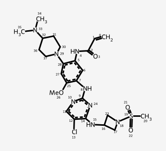 C=CC(=O)Nc1cc(Nc2ncc(Cl)c(NC3CN(S(C)(=O)=O)C3)n2)c(OC)cc1N1CCC(N(C)C)CC1